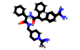 CC(=N)N1CCC(CNC(=O)[C@@H](NC(=O)C(Cc2ccc(C(=N)N)cc2)C2CCCCC2)C2CCCCC2)CC1